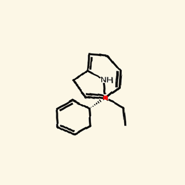 CCN(N/C1=C\C/C=C\C=C/C1)[C@H]1C=CC=CC1